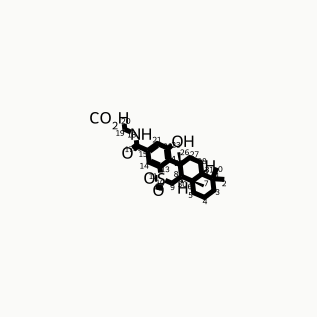 CC1(C)CCC[C@]2(C)[C@H]3CS(=O)(=O)c4cc(C(=O)NCC(=O)O)cc(O)c4[C@]3(C)CC[C@@H]12